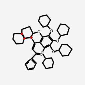 O=C(C=C(OC1CCCCC1)c1c(OC2CCCCC2)c(OC2CCCCC2)c(OC2CCCCC2)c(OC2CCCCC2)c1OC1CCCCC1)c1ccccc1